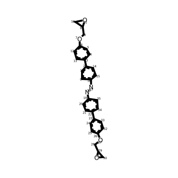 c1cc(-c2ccc(OCC3CO3)cc2)ccc1/N=N/c1ccc(-c2ccc(OCC3CO3)cc2)cc1